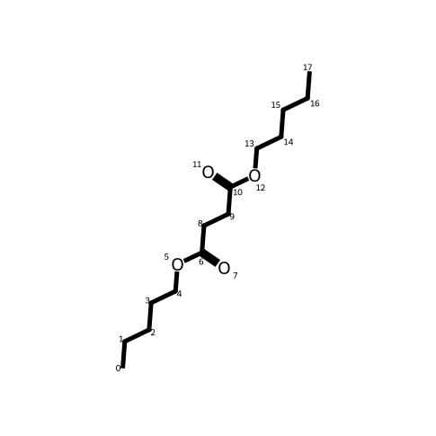 CCCCCOC(=O)CCC(=O)OCCCCC